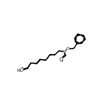 O=CN(CCCCCCCCO)OCc1ccccc1